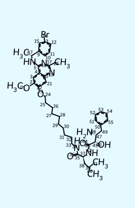 COc1cc2c(N[C@H](C)c3cccc(Br)c3)nc(C)nc2cc1OCCCCCCCCCCNC(=O)[C@H](CC(C)C)NC(=O)[C@@H](O)[C@H](N)Cc1ccccc1